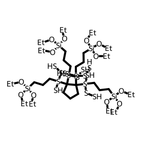 CCO[Si](CCCS(S)(SS)C1(S(S)(CCC[Si](OCC)(OCC)OCC)SS)CCCC1(S(S)(CCC[Si](OCC)(OCC)OCC)SS)S(S)(CCC[Si](OCC)(OCC)OCC)SS)(OCC)OCC